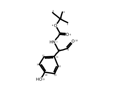 CC(C)(C)OC(=O)NC(C=O)c1ccc(O)cc1